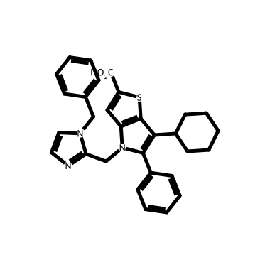 O=C(O)c1cc2c(s1)c(C1CCCCC1)c(-c1ccccc1)n2Cc1nccn1Cc1ccccc1